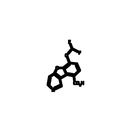 O=C(O)c1ccc(OC(F)F)c2oc3ccncc3c12